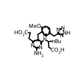 CCCCC(CC(=O)O)Nc1nc(N)nc(CCC(=O)O)c1Cc1cc(Cc2nn[nH]n2)ccc1OC